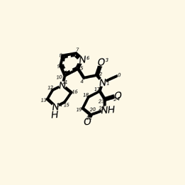 CN(C(=O)Cc1ncccc1N1CCNCC1)C1CCC(=O)NC1=O